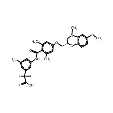 COc1ccc2c(c1)N(C)C[C@@H](COc1cc(C)c(C(=O)Nc3cc(C)cc(C(F)(F)C(=O)O)c3)c(C)c1)O2